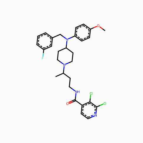 COc1ccc(N(Cc2cccc(F)c2)C2CCN(C(C)CCNC(=O)c3ccnc(Cl)c3Cl)CC2)cc1